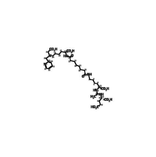 C=C(N[C@@H](CCCCNC(=O)CCCCCCC(=O)NC(CCCCN(CC(=O)O)Cc1ccccn1)C(=O)O)C(=O)O)N[C@@H](CCC(=O)O)C(=O)O